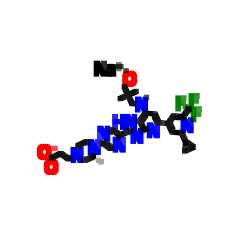 COCC(C)(C)CN(C)c1cc(-c2cc(C3CC3)nc(C(F)(F)F)c2)nc2nc(-c3cnc(N4CCN(CCC(=O)[O-])C[C@H]4C)cn3)[nH]c12.[Na+]